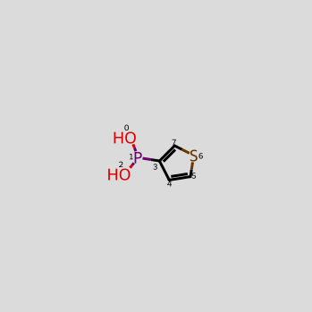 OP(O)c1ccsc1